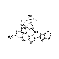 Cc1cc(Nc2ncc(-c3nc4ccccc4s3)c(N[C@@H]3C[C@@H](C(C)(C)O)[C@@H](O)[C@H]3O)n2)cc(C)n1